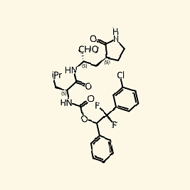 CC(C)C[C@H](NC(=O)OC(c1ccccc1)C(F)(F)c1cccc(Cl)c1)C(=O)N[C@H](C=O)C[C@@H]1CCNC1=O